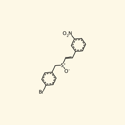 O=[N+]([O-])c1cccc(C=C[S+]([O-])Cc2ccc(Br)cc2)c1